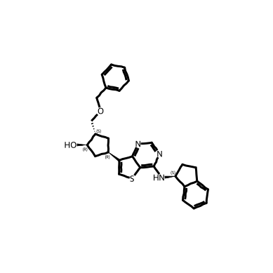 O[C@@H]1C[C@H](c2csc3c(N[C@H]4CCc5ccccc54)ncnc23)C[C@H]1COCc1ccccc1